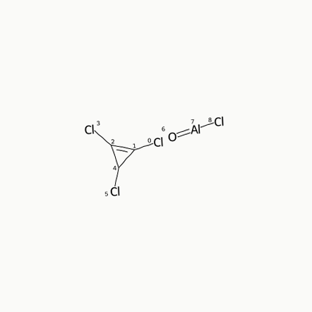 ClC1=C(Cl)C1Cl.[O]=[Al][Cl]